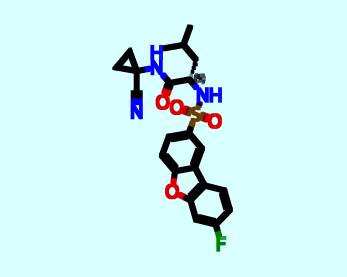 CC(C)C[C@H](NS(=O)(=O)c1ccc2oc3cc(F)ccc3c2c1)C(=O)NC1(C#N)CC1